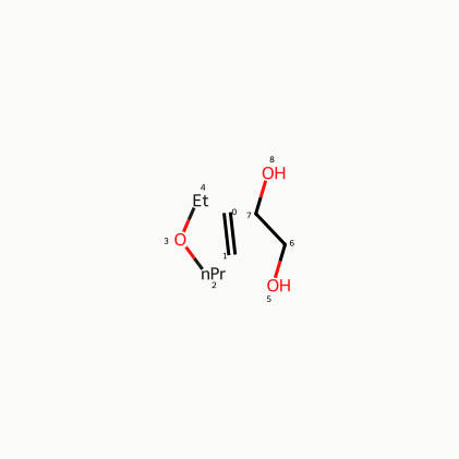 C=C.CCCOCC.OCCO